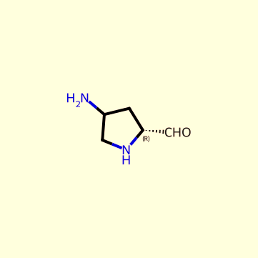 NC1CN[C@@H](C=O)C1